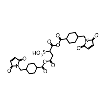 O=C(CC(C(=O)OC(=O)C1CCC(CN2C(=O)C=CC2=O)CC1)S(=O)(=O)O)OC(=O)C1CCC(CN2C(=O)C=CC2=O)CC1